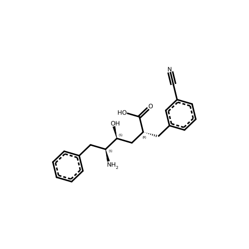 N#Cc1cccc(C[C@H](C[C@H](O)[C@@H](N)Cc2ccccc2)C(=O)O)c1